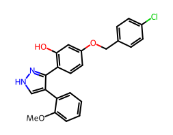 COc1ccccc1-c1c[nH]nc1-c1ccc(OCc2ccc(Cl)cc2)cc1O